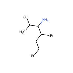 CCC(C)C(C)C(N)C(CCC(C)C)C(C)C